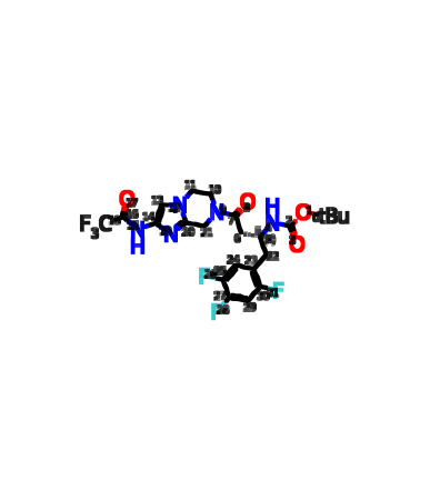 CC(C)(C)OC(=O)N[C@@H](CC(=O)N1CCn2cc(NC(=O)C(F)(F)F)nc2C1)Cc1cc(F)c(F)cc1F